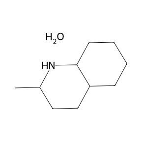 CC1CCC2CCCCC2N1.O